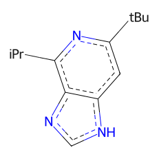 CC(C)c1nc(C(C)(C)C)cc2[nH]cnc12